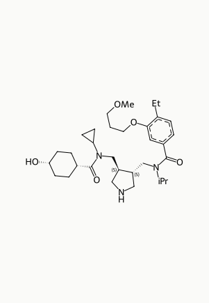 CCc1ccc(C(=O)N(C[C@@H]2CNC[C@H]2CN(C(=O)[C@H]2CC[C@@H](O)CC2)C2CC2)C(C)C)cc1OCCCOC